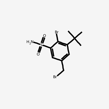 CC(C)(C)c1cc(CBr)cc(S(N)(=O)=O)c1Br